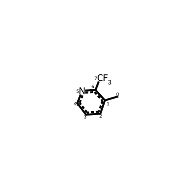 Cc1cc[c]nc1C(F)(F)F